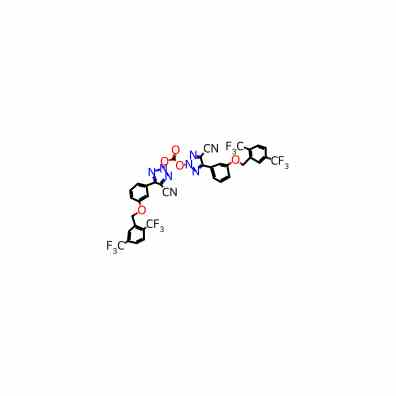 N#Cc1nn(OC(=O)On2nc(C#N)c(-c3cccc(OCc4cc(C(F)(F)F)ccc4C(F)(F)F)c3)n2)nc1-c1cccc(OCc2cc(C(F)(F)F)ccc2C(F)(F)F)c1